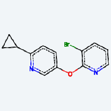 Brc1cccnc1Oc1ccc(C2CC2)nc1